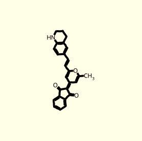 CC1=CC(=C2C(=O)c3ccccc3C2=O)C=C(C=Cc2ccc3c(c2)CCCN3)O1